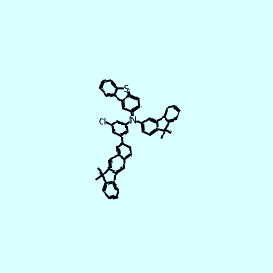 CC1(C)c2ccccc2-c2cc(N(c3cc(Cl)cc(-c4ccc5cc6c(cc5c4)C(C)(C)c4ccccc4-6)c3)c3ccc4sc5ccccc5c4c3)ccc21